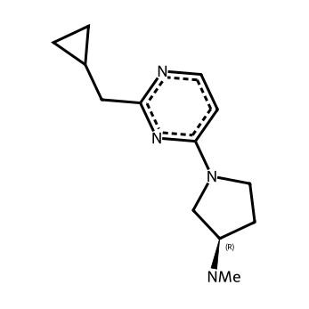 CN[C@@H]1CCN(c2ccnc(CC3CC3)n2)C1